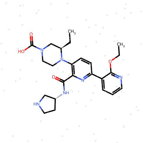 CCOc1ncccc1-c1ccc(N2CCN(C(=O)O)C[C@H]2CC)c(C(=O)N[C@@H]2CCNC2)n1